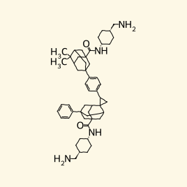 CC1(C)C2CC3(C(=O)N[C@H]4CC[C@H](CN)CC4)CC1CC(c1ccc(C4CC45C4CC6(C(=O)N[C@H]7CC[C@H](CN)CC7)CC5CC(c5ccccc5)(C4)C6)cc1)(C2)C3